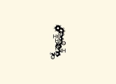 CC(=O)N1CCC(Nc2cc(C(=O)NC[C@H](O)CN3CCc4ccccc4C3)ncn2)C1